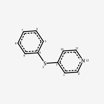 [c]1cc(Sc2ccccc2)ccn1